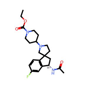 CCOC(=O)N1CCC(N2CCC3(C[C@H](NC(C)=O)c4cc(F)ccc43)C2)CC1